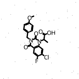 COc1ccc(Cn2c(=O)c3cc(F)c(Cl)cc3n(C(C)C(=O)O)c2=O)cc1